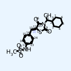 CC(C1CCCCC1)N1C(=O)S/C(=C\c2ccc(NS(C)(=O)=O)cc2)C1=O